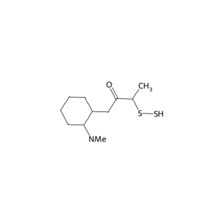 CNC1CCCCC1CC(=O)C(C)SS